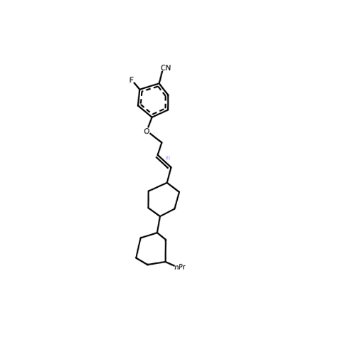 CCCC1CCCC(C2CCC(/C=C/COc3ccc(C#N)c(F)c3)CC2)C1